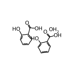 O.O=C(O)c1ccccc1O.O=C(O)c1ccccc1O